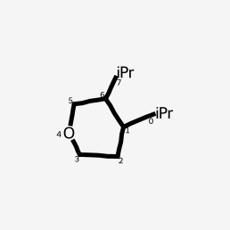 CC(C)C1CCOCC1C(C)C